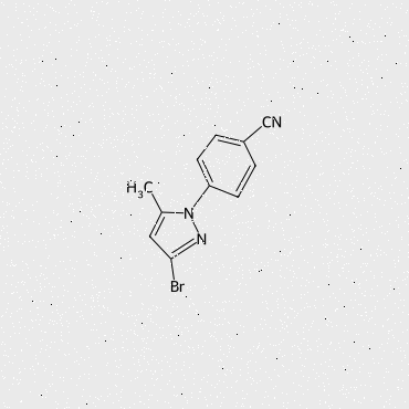 Cc1cc(Br)nn1-c1ccc(C#N)cc1